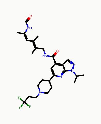 C/C(=C/C(C)=C(\C)CNC(=O)c1cc(C2CCN(CCC(F)(F)F)CC2)nc2c1cnn2C(C)C)NC=O